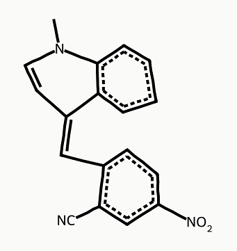 CN1C=C/C(=C/c2ccc([N+](=O)[O-])cc2C#N)c2ccccc21